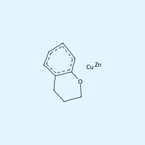 [Cu].[Zn].c1ccc2c(c1)CCCO2